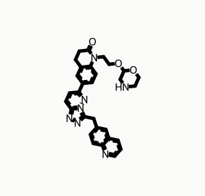 O=C1CCc2cc(-c3ccc4nnc(Cc5ccc6ncccc6c5)n4n3)ccc2N1CCOC1CNCCO1